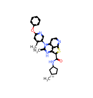 C=c1[nH]c2c(C(=O)NC3CC[C@H](C)C3)sc3nccc(c32)n1-c1cnc(Oc2ccccc2)cc1C